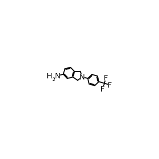 Nc1ccc2c(c1)CN(c1ccc(C(F)(F)F)cc1)C2